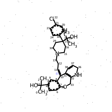 CC(C)(O)c1ccc2c(c1)/C(=C/CCN1CCC(c3ccc(Cl)cc3)(C(C)(C)O)CC1)C1=C(CO2)NCC=C1